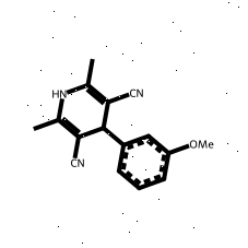 COc1cccc(C2C(C#N)=C(C)NC(C)=C2C#N)c1